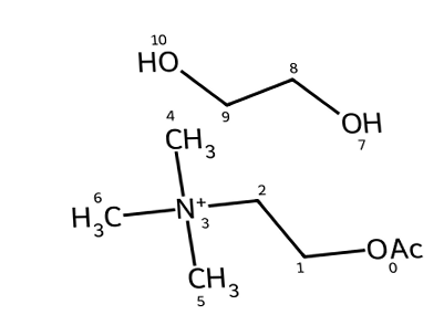 CC(=O)OCC[N+](C)(C)C.OCCO